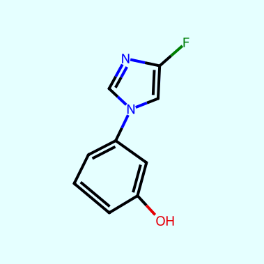 Oc1cccc(-n2cnc(F)c2)c1